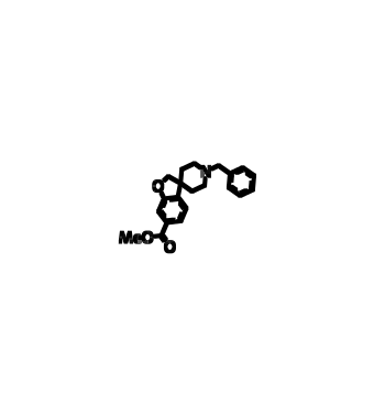 COC(=O)c1ccc2c(c1)OCC21CCN(Cc2ccccc2)CC1